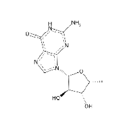 C[C@H]1O[C@@H](n2cnc3c(=O)[nH]c(N)nc32)[C@H](O)[C@H]1O